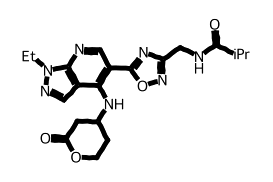 CCn1ncc2c(NC3CCOC(=O)C3)c(-c3nc(CNC(=O)C(C)C)no3)cnc21